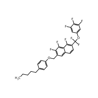 CCCCCc1ccc(OCc2cc3ccc(C(F)(F)Oc4cc(F)c(F)c(F)c4)c(F)c3c(F)c2F)cc1